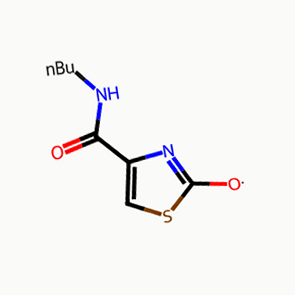 CCCCNC(=O)c1csc([O])n1